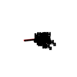 CCCCCCCCCCCCCCCC(=O)NCC(=O)NCC(=O)N[C@@H](Cc1ccc(O)cc1)C(=O)N[C@@H](CCC(N)=O)C(=O)N[C@@H](CCCCN)C(=O)N[C@@H](CCCCN)C(=O)N[C@@H](CC(C)C)C(=O)N[C@@H](CCCNC(=N)N)C(=O)NC